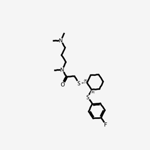 CN(C)CCCN(C)C(=O)CS[C@@H]1CCCC[C@H]1Sc1ccc(F)cc1